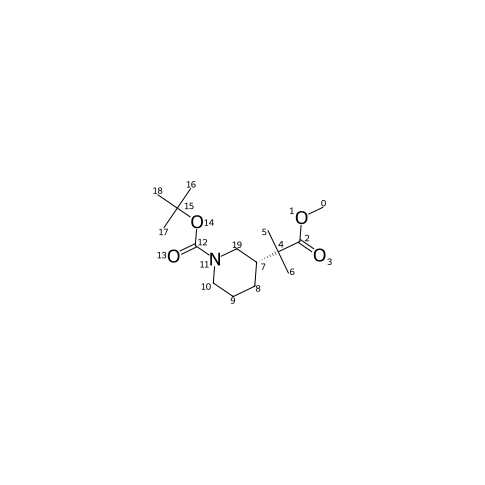 COC(=O)C(C)(C)[C@@H]1CCCN(C(=O)OC(C)(C)C)C1